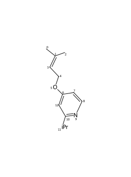 CC(C)=CCOc1ccnc(C(C)C)c1